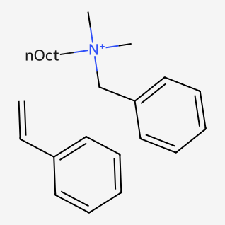 C=Cc1ccccc1.CCCCCCCC[N+](C)(C)Cc1ccccc1